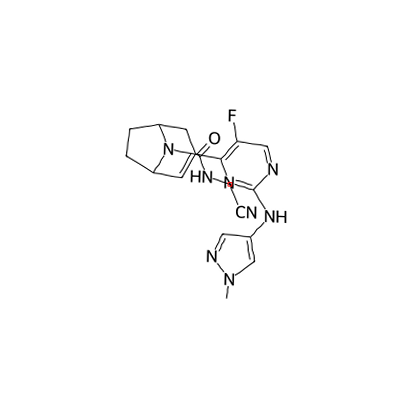 Cn1cc(Nc2ncc(F)c(C3=CC4CCC(C3)N4C(=O)NCC#N)n2)cn1